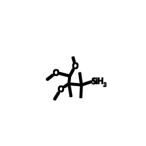 COC(OC)C(C)(OC)C(C)(C)[SiH3]